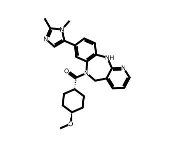 CO[C@H]1CC[C@H](C(=O)N2Cc3cccnc3Nc3ccc(-c4cnc(C)n4C)cc32)CC1